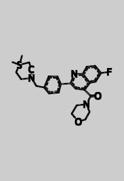 CS1(C)CCN(Cc2ccc(-c3cc(C(=O)N4CCOCC4)c4cc(F)ccc4n3)cc2)CC1